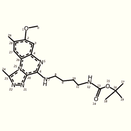 COc1cc2nc(NCCCCNC(=O)OC(C)(C)C)c3nnc(C)n3c2cc1C